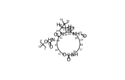 CC(C)(C)OC(=O)N[C@H]1CCCOC(=O)NCCCC[C@@H](C=O)NC(=O)[C@@H]2[C@@H]3[C@H](CN2C1=O)C3(C)C